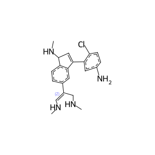 CN/C=C(\CNC)c1ccc2c(c1)C(c1cc(N)ccc1Cl)=CC2NC